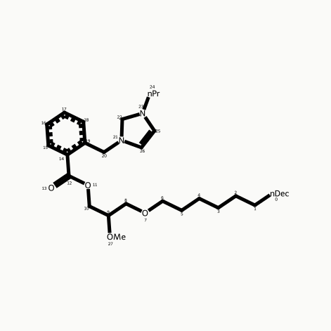 CCCCCCCCCCCCCCCCOCC(COC(=O)c1ccccc1CN1[CH]N(CCC)C=C1)OC